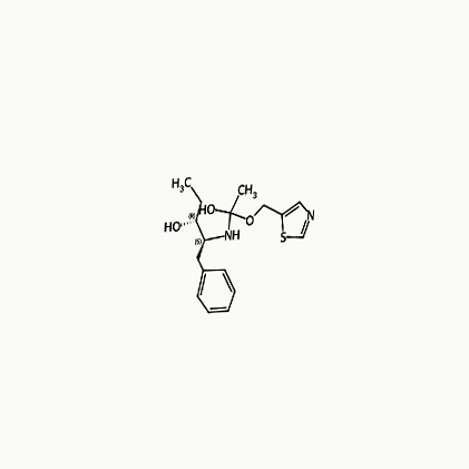 CC[C@@H](O)[C@H](Cc1ccccc1)NC(C)(O)OCc1cncs1